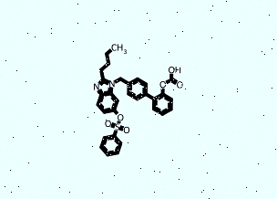 CCCCc1nc2ccc(OS(=O)(=O)c3ccccc3)cc2n1Cc1ccc(-c2ccccc2OC(=O)O)cc1